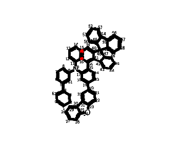 C1=CCCC(c2cccc(N(c3ccccc3)c3cc(-c4ccc5oc6ccccc6c5c4)ccc3-c3cccc4c3-c3ccccc3C43c4ccccc4-c4ccccc43)c2)=C1